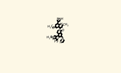 COc1cc(-c2cn[nH]c2)c2nc(C)cc(N3CCc4c(cc(Cn5ccnc5)cc4-c4cn(C)nc4C(F)(F)F)C3=O)c2c1